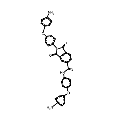 Nc1ccc(Oc2ccc(NC(=O)c3ccc4c(c3)C(=O)N(c3ccc(Oc5ccc(N)cc5)cc3)C4=O)cc2)cc1